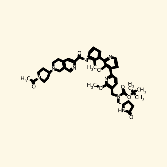 COc1nc(-c2ccnc(-c3cccc(NC(=O)c4cc5c(cn4)CN(C4CCN(C(C)=O)CC4)CC5)c3C)c2Cl)ccc1CN(C[C@@H]1CCC(=O)N1)C(=O)OC(C)(C)C